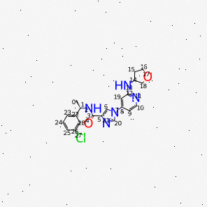 C[C@@H](NC(=O)c1cn(-c2ccnc(NC3CCOC3)c2)cn1)c1cccc(Cl)c1